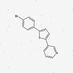 Brc1ccc(-c2ccc(-c3cccnc3)s2)cc1